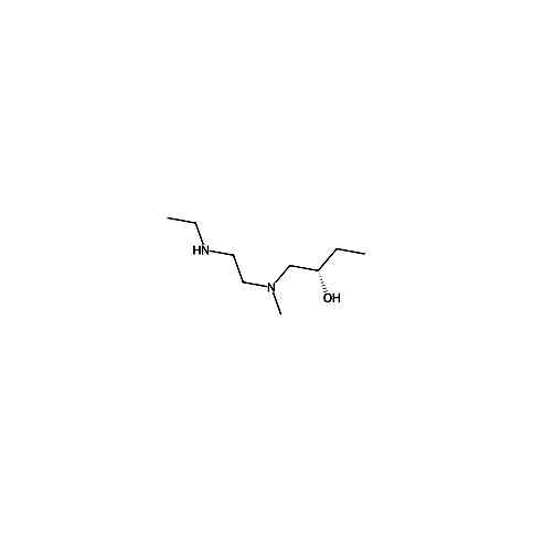 CCNCCN(C)C[C@@H](O)CC